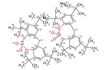 CC(C)(C)c1cc2c(c(C(C)(C)C)c1)OP(=O)([O-])Oc1c(cc(C(C)(C)C)cc1C(C)(C)C)C2.CC(C)(C)c1cc2c(c(C(C)(C)C)c1)OP(=O)([O-])Oc1c(cc(C(C)(C)C)cc1C(C)(C)C)C2.[Mg+2]